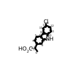 C[C@H](C(=O)O)c1ccc2c(c1)[nH]c1ccc(Cl)cc12